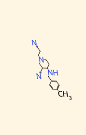 Cc1ccc(CNC2CCN(CCC#N)CC2C#N)cc1